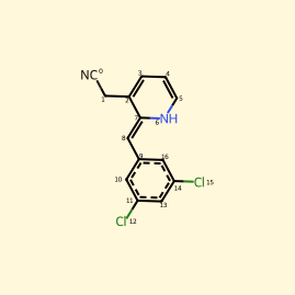 N#CCC1=CC=CN/C1=C\c1cc(Cl)cc(Cl)c1